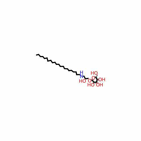 CCCCCCCCCCCCCCCCCCCCCCNCC(O)CO[C@H]1O[C@H](CO)[C@H](O)[C@H](O)[C@H]1O